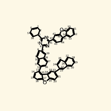 C1=CCC(c2nc(-c3ccc4cc(-c5cccc6oc7ccc(-c8ccc9ccccc9c8)cc7c56)ccc4c3)nc(-c3ccc4c(c3)oc3ccccc34)n2)C=C1